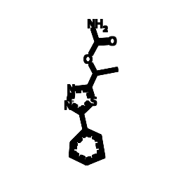 CC(OC(N)=O)c1nnc(-c2ccccc2)s1